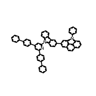 c1ccc(-c2ccc(-c3cc(-c4ccc(-c5ccccc5)cc4)nc(-n4c5ccccc5c5cc(-c6cc7ccc8cccc9c8c7c(c6)n9-c6ccccc6)ccc54)c3)cc2)cc1